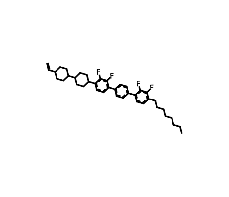 C=CC1CCC(C2CCC(c3ccc(-c4ccc(-c5ccc(CCCCCCCC)c(F)c5F)cc4)c(F)c3F)CC2)CC1